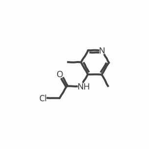 Cc1cncc(C)c1NC(=O)CCl